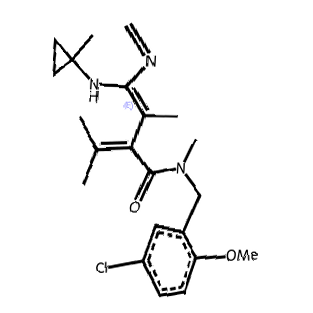 C=N/C(NC1(C)CC1)=C(\C)C(C(=O)N(C)Cc1cc(Cl)ccc1OC)=C(C)C